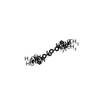 COC(=O)NC(C(=O)N1CCC[C@H]1c1nc2cc(-c3ccc4nc(-c5ccc6[nH]c([C@@H]7CCCN7C(=O)C(NC(=O)O)C(C)C)nc6c5)ccc4c3)ccc2[nH]1)C(C)C